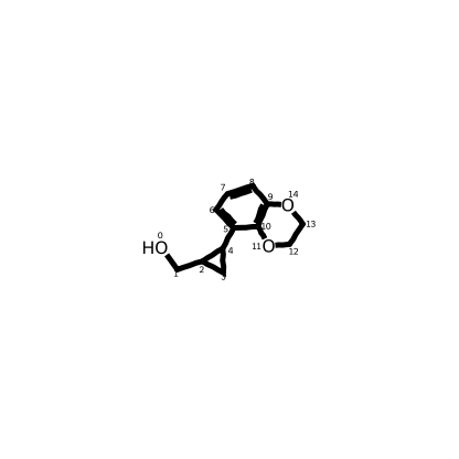 OCC1CC1c1cccc2c1OCCO2